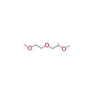 CO[CH]COCCOC